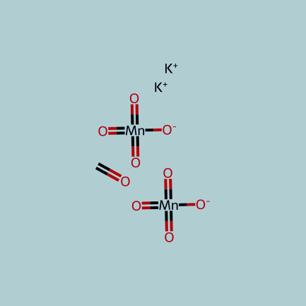 C=O.[K+].[K+].[O]=[Mn](=[O])(=[O])[O-].[O]=[Mn](=[O])(=[O])[O-]